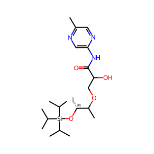 Cc1cnc(NC(=O)C(O)COC(C)[C@@H](I)O[Si](C(C)C)(C(C)C)C(C)C)cn1